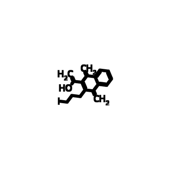 C=C(O)c1c(CCCI)c(=C)c2ccccc2c1=C